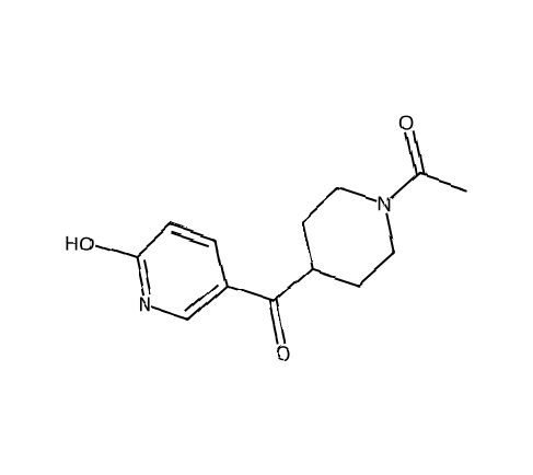 CC(=O)N1CCC(C(=O)c2ccc(O)nc2)CC1